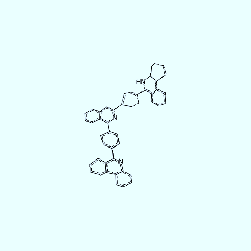 C1=CC2=c3ccccc3=C(C3=CC=C(c4cc5ccccc5c(-c5ccc(-c6nc7ccccc7c7ccccc67)cc5)n4)CC3)NC2CC1